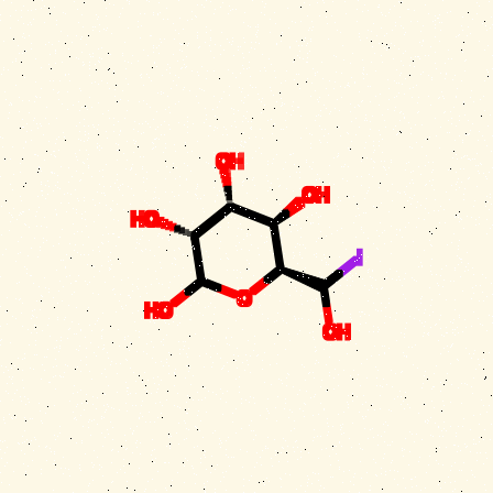 OC(I)[C@H]1OC(O)[C@H](O)[C@H](O)[C@H]1O